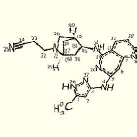 Cc1cc(Nc2cc3ncccc3c(N[C@H]3C[C@@H]4C[C@H]3CN4CCC#N)n2)n[nH]1